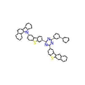 c1ccc(-c2cccc(-c3nc(-c4ccc5c(c4)sc4ccc(-n6c7ccccc7c7ccc8ccccc8c76)cc45)nc(-c4ccc5sc6cc7ccccc7cc6c5c4)n3)c2)cc1